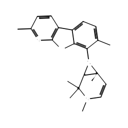 Cc1ccc2c(n1)oc1c(N3C4[C@H]3C=CN(C)C4(C)C)c(C)ccc12